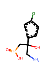 NCC(O)(C[PH](=O)O)c1ccc(Cl)cc1